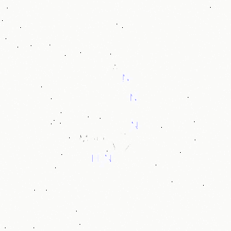 COc1cc(N2CCCC(N3CCN(C(C)=O)CC3)C2)ccc1N